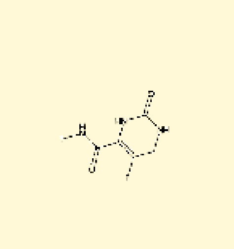 O=C1NCC(F)=C(C(=O)NI)N1